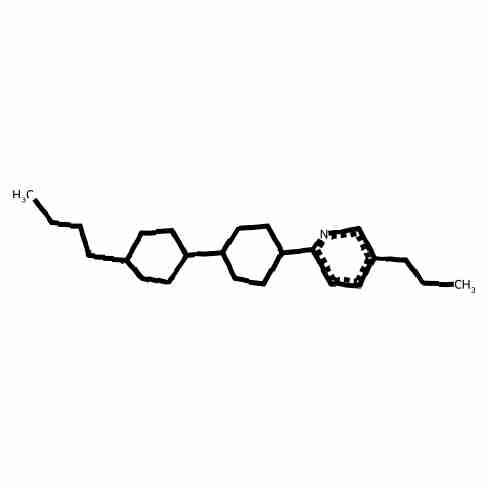 CCCCC1CCC(C2CCC(c3ccc(CCC)cn3)CC2)CC1